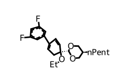 CCCCC[C@H]1CO[C@H](C2(OCC)C=CC(c3cc(F)cc(F)c3)=CC2)OC1